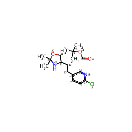 CC(C)(C)OC=O.CC1(C)NC(CCc2ccc(Cl)nc2)CO1